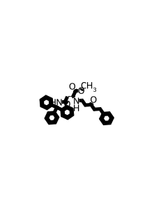 COC(=O)[C@@H](CC(=O)NC(c1ccccc1)(c1ccccc1)c1ccccc1)NCCC(=O)CCc1ccccc1